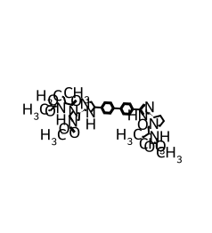 COC(=O)N[C@H](C(=O)N1CN(C(=O)OC)C[C@H]1C1=NCC(c2ccc(-c3ccc(-c4cnc([C@@H]5CCCN5C(=O)[C@@H](NC(=O)OC)C(C)C)[nH]4)cc3)cc2)N1)C(C)C